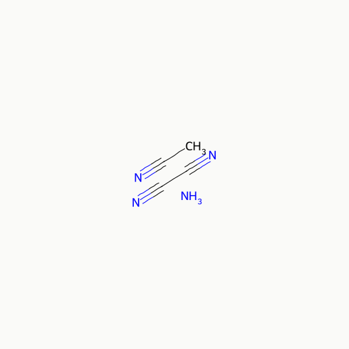 CC#N.N.N#CC#N